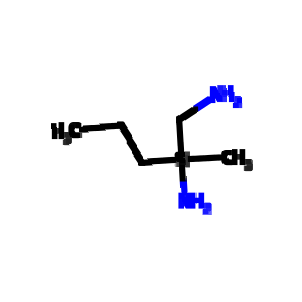 CCC[Si](C)(N)CN